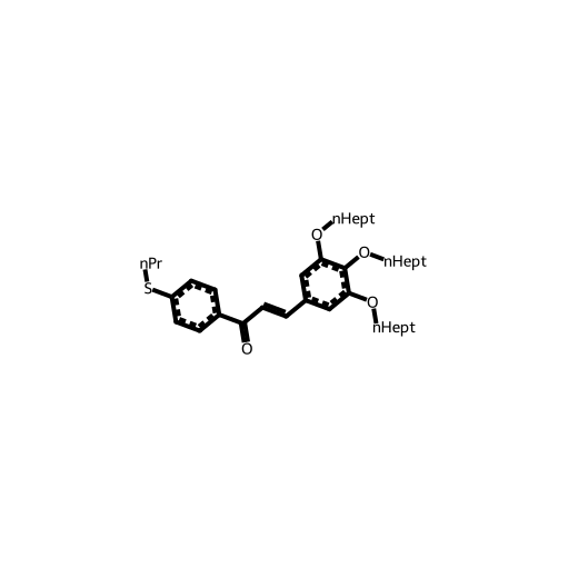 CCCCCCCOc1cc(C=CC(=O)c2ccc(SCCC)cc2)cc(OCCCCCCC)c1OCCCCCCC